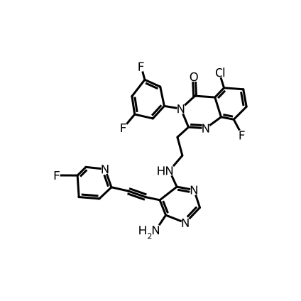 Nc1ncnc(NCCc2nc3c(F)ccc(Cl)c3c(=O)n2-c2cc(F)cc(F)c2)c1C#Cc1ccc(F)cn1